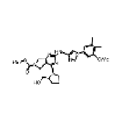 COc1cc(-n2cnc(Nc3nc4c(c(N5CCC[C@H]5CO)n3)CN(C(=O)OC(C)(C)C)C4)c2)cc(C)c1C